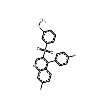 COc1cccc(S(=O)(=O)c2cnc3cc(F)ccc3c2-c2ccc(F)cc2)c1